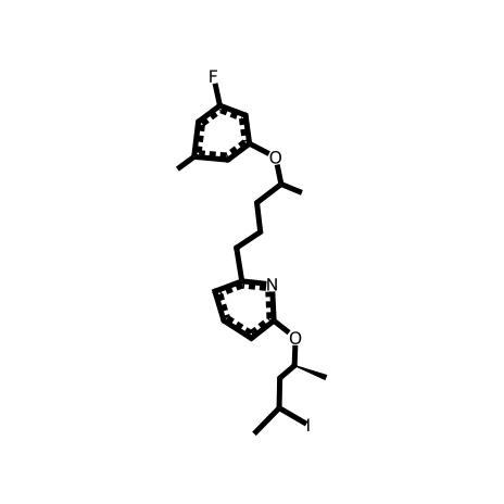 Cc1cc(F)cc(OC(C)CCCc2cccc(O[C@@H](C)CC(C)I)n2)c1